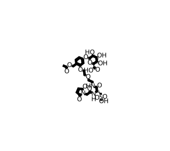 CC(=O)OCc1ccc(O[C@@H]2O[C@H](C(=O)O)[C@@H](O)[C@H](O)[C@H]2O)cc1OCCOCCNC(=O)[C@H](CS(=O)(=O)O)NC(=O)CN1C(=O)C=CC1=O